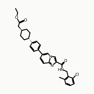 CCOC(=O)C[C@H]1CC[C@H](c2ccc(-c3ccc4nc(C(=O)NCc5c(C)cccc5Cl)cn4c3)cc2)CC1